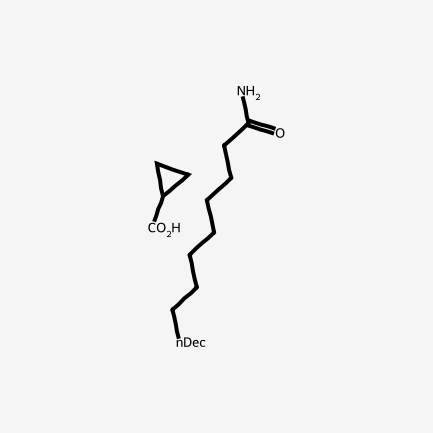 CCCCCCCCCCCCCCCCCC(N)=O.O=C(O)C1CC1